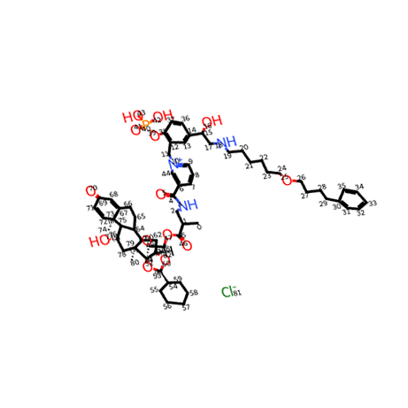 CC(CNC(=O)c1ccc[n+](Cc2cc(C(O)CNCCCCCCOCCCCc3ccccc3)ccc2OP(=O)(O)O)c1)C(=O)OCC(=O)[C@@]12O[C@H](C3CCCCC3)O[C@H]1CC1C3CCC4=CC(=O)C=C[C@]4(C)C3[C@@H](O)C[C@@]12C.[Cl-]